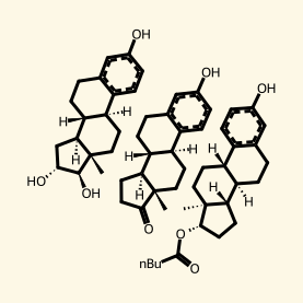 CCCCC(=O)O[C@H]1CC[C@H]2[C@@H]3CCc4cc(O)ccc4[C@H]3CC[C@]12C.C[C@]12CC[C@@H]3c4ccc(O)cc4CC[C@H]3[C@@H]1CCC2=O.C[C@]12CC[C@@H]3c4ccc(O)cc4CC[C@H]3[C@@H]1C[C@@H](O)[C@@H]2O